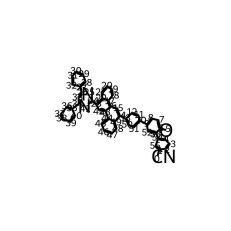 N#Cc1ccc2oc3ccc(-c4ccc(-c5cc6c7ccccc7c(-c7nc(-c8ccccc8)cc(-c8ccccc8)n7)cc6c6ccccc56)cc4)cc3c2c1